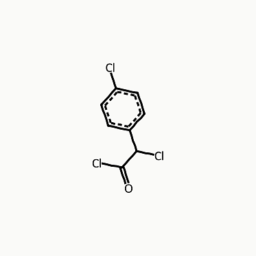 O=C(Cl)C(Cl)c1ccc(Cl)cc1